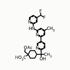 CC(=O)OCC1(C(=O)O)CCC(C(C)(O)c2ccc(-c3cc(C)cc(Nc4cc(C(F)F)ccn4)n3)cn2)CC1